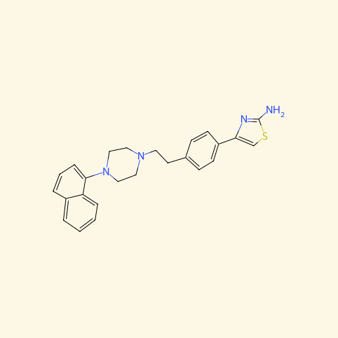 Nc1nc(-c2ccc(CCN3CCN(c4cccc5ccccc45)CC3)cc2)cs1